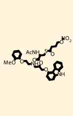 COc1ccccc1OCCNCC(COc1cccc2[nH]c3ccccc3c12)OC(=O)C(CSC(=O)CCCO[N+](=O)[O-])NC(C)=O